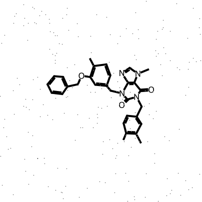 Cc1ccc(Cn2c(=O)c3c(ncn3C)n(Cc3ccc(C)c(OCc4ccccc4)c3)c2=O)cc1C